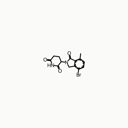 Cc1ccc(Br)c2c1C(=O)N(C1CCC(=O)NC1=O)C2